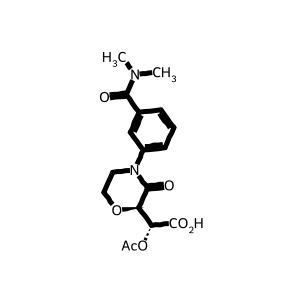 CC(=O)O[C@@H](C(=O)O)[C@H]1OCCN(c2cccc(C(=O)N(C)C)c2)C1=O